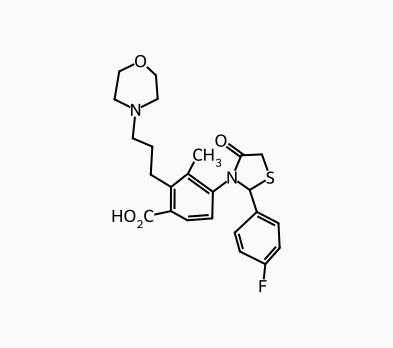 Cc1c(N2C(=O)CSC2c2ccc(F)cc2)ccc(C(=O)O)c1CCCN1CCOCC1